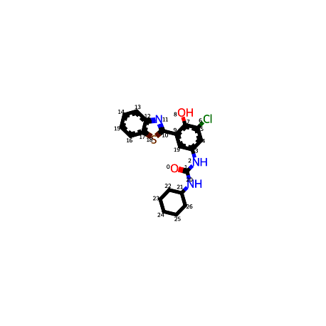 O=C(Nc1cc(Cl)c(O)c(-c2nc3ccccc3s2)c1)NC1CCCCC1